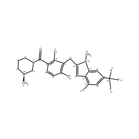 C[C@H]1CCCN(C(=O)c2ccc(Cl)c(Cc3cc4c(F)cc(C(F)(F)F)cc4n3C)c2Cl)C1